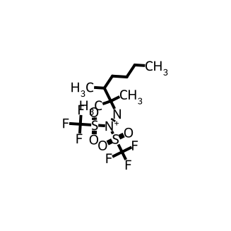 CCCCC(C)C(C)(C)N=[N+](S(=O)(=O)C(F)(F)F)S(=O)(=O)C(F)(F)F